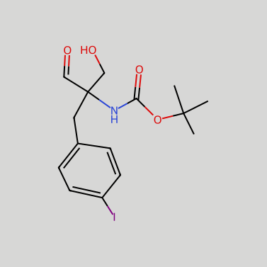 CC(C)(C)OC(=O)NC(C=O)(CO)Cc1ccc(I)cc1